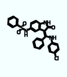 O=C1Nc2ccc(NS(=O)(=O)c3ccccc3)cc2/C1=C(/Nc1ccc(Cl)cc1)c1ccccc1